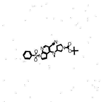 CN(c1c(C#N)cnc2c1ccn2S(=O)(=O)c1ccccc1)C1CCN(C(=O)OC(C)(C)C)C1